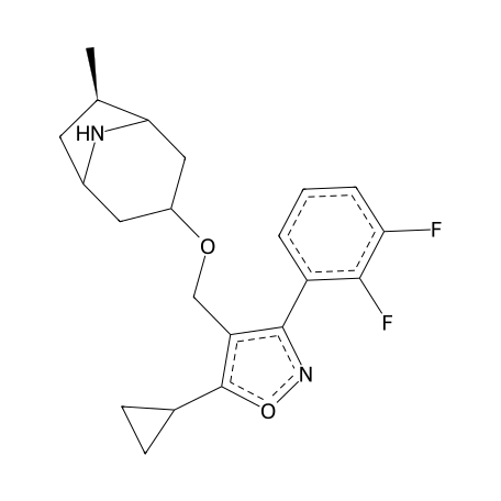 C[C@@H]1CC2CC(OCc3c(-c4cccc(F)c4F)noc3C3CC3)CC1N2